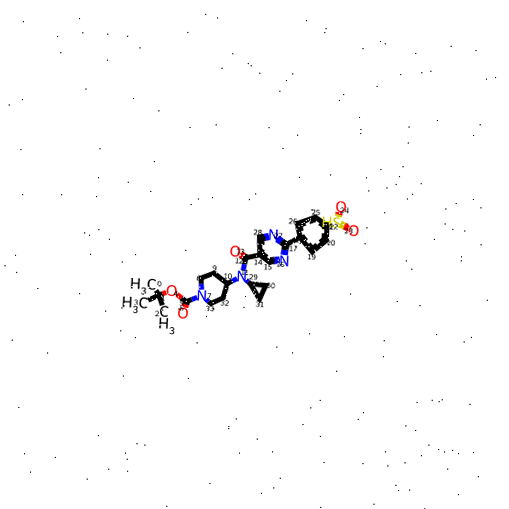 CC(C)(C)OC(=O)N1CCC(N(C(=O)c2cnc(-c3ccc([SH](=O)=O)cc3)nc2)C2CC2)CC1